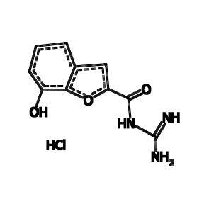 Cl.N=C(N)NC(=O)c1cc2cccc(O)c2o1